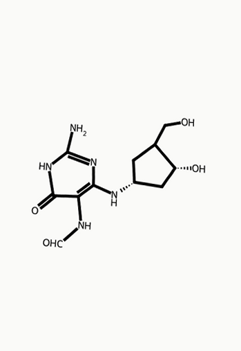 Nc1nc(N[C@@H]2CC(CO)[C@H](O)C2)c(NC=O)c(=O)[nH]1